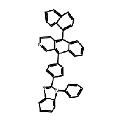 c1ccc(-n2c(-c3ccc(-c4c5ccccc5c(-c5cccc6ccccc56)c5ccncc45)cc3)nc3ccccc32)cc1